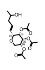 CC(=O)O[C@@H]1[C@@H](OC(C)=O)[C@H](OC(C)=O)CO[C@@H]1C=CCC(C)O